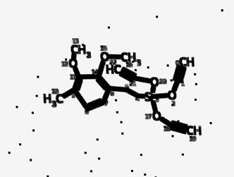 C#CO[Si](CCc1ccc(C)c(OC)c1OC)(OC#C)OC#C